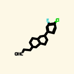 O=CCCC1CCC2CC(c3ccc(Cl)c(F)c3)CCC2C1